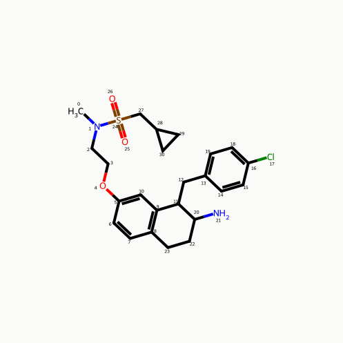 CN(CCOc1ccc2c(c1)C(Cc1ccc(Cl)cc1)C(N)CC2)S(=O)(=O)CC1CC1